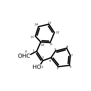 O=CC(=C(O)c1ccccc1)c1ccccc1